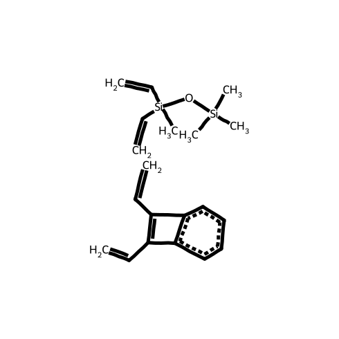 C=CC1=C(C=C)c2ccccc21.C=C[Si](C)(C=C)O[Si](C)(C)C